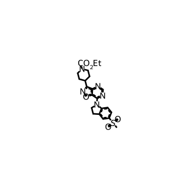 CCOC(=O)N1CCC(c2noc3c(N4CCc5cc(S(C)(=O)=O)ccc54)ncnc23)CC1